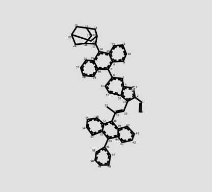 C=Cc1sc2cc(-c3c4ccccc4c(C4C5CC6CC(C5)CC4C6)c4ccccc34)ccc2c1/C=C(\C)c1c2ccccc2c(-c2ccccc2)c2ccccc12